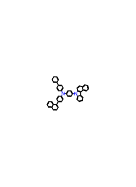 C1=CC(c2ccc(N(c3ccc(-c4cccc5ccccc45)cc3)c3ccc(-n4c5ccccc5c5c6ccccc6ccc54)cc3)cc2)=CCC1